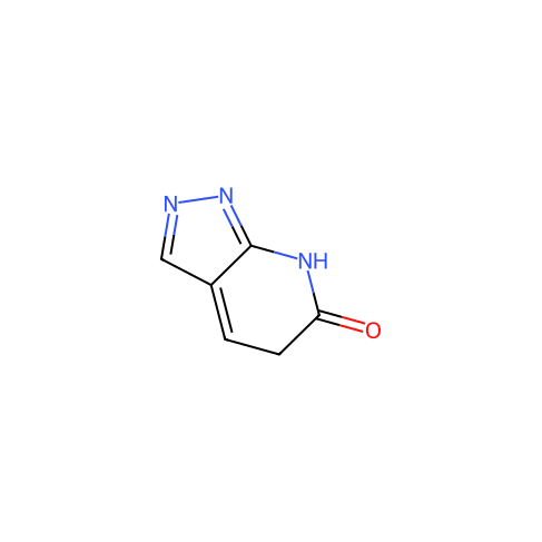 O=C1CC=C2C=NN=C2N1